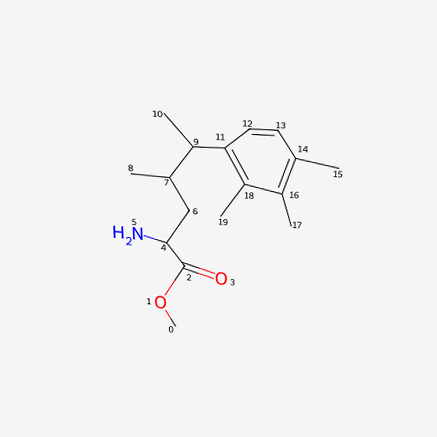 COC(=O)C(N)CC(C)C(C)c1ccc(C)c(C)c1C